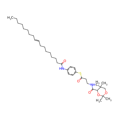 CCCCCCCCC=CCCCCCCCC(=O)Nc1ccc(SC(=O)CCNC(=O)C2OC(C)(C)OCC2(C)C)cc1